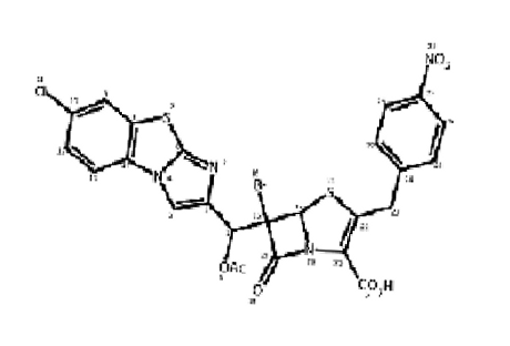 CC(=O)OC(c1cn2c(n1)sc1cc(Cl)ccc12)C1(Br)C(=O)N2C(C(=O)O)=C(Cc3ccc([N+](=O)[O-])cc3)SC21